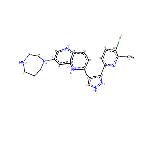 Cc1nc(-c2n[nH]cc2-c2ccc3ncc(N4CCCNCC4)cc3n2)ccc1F